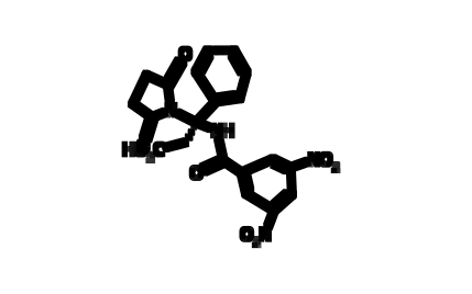 O=C(O)C[C@@](NC(=O)c1cc([N+](=O)[O-])cc([N+](=O)[O-])c1)(c1ccccc1)N1C(=O)CCC1=O